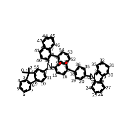 CC1(C)c2ccccc2-c2ccc(N(c3ccc(-c4ccc(-n5c6ccccc6c6ccccc65)cc4)cc3)c3ccc4ccccc4c3-c3ccccc3)cc21